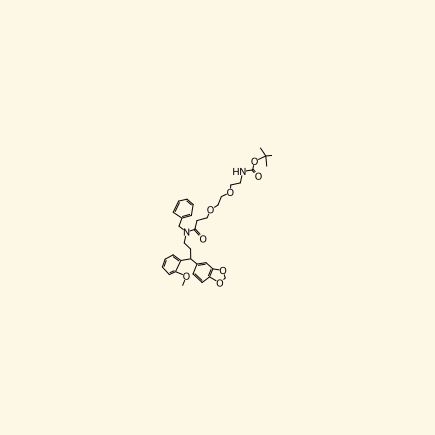 COc1ccccc1C(CCN(Cc1ccccc1)C(=O)CCOCCOCCNC(=O)OC(C)(C)C)c1ccc2c(c1)OCO2